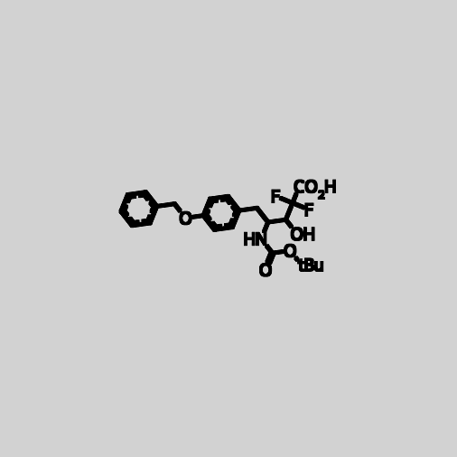 CC(C)(C)OC(=O)NC(Cc1ccc(OCc2ccccc2)cc1)C(O)C(F)(F)C(=O)O